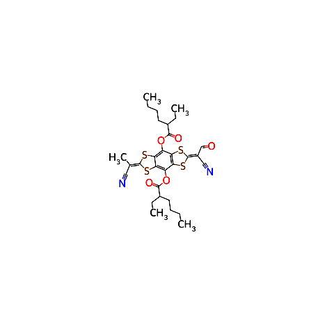 CCCCC(CC)C(=O)Oc1c2c(c(OC(=O)C(CC)CCCC)c3c1SC(=C(C#N)C=O)S3)SC(=C(C)C#N)S2